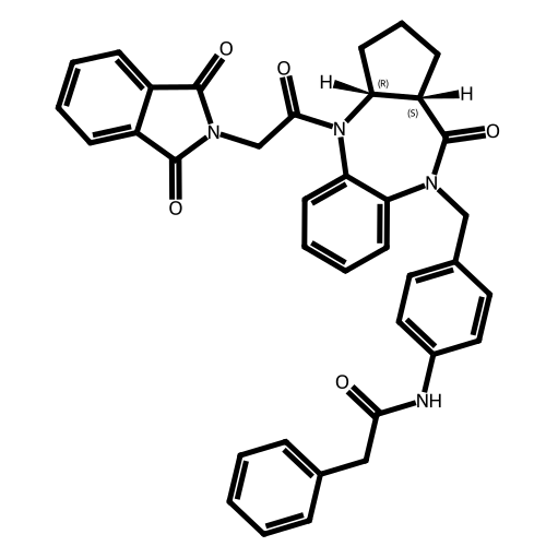 O=C(Cc1ccccc1)Nc1ccc(CN2C(=O)[C@H]3CCC[C@H]3N(C(=O)CN3C(=O)c4ccccc4C3=O)c3ccccc32)cc1